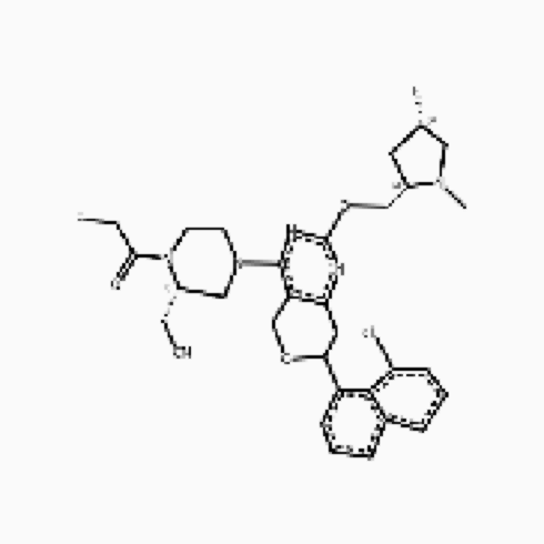 CN1C[C@@H](F)C[C@H]1COc1nc2c(c(N3CCN(C(=O)CF)[C@@H](CC#N)C3)n1)COC(c1cccc3cccc(Cl)c13)C2